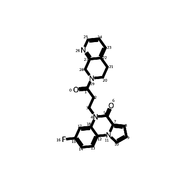 O=C(CCn1c(=O)c2cccn2c2ccc(F)cc21)N1CCc2cccnc2C1